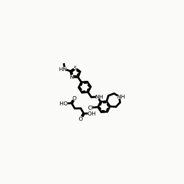 CNc1nc(-c2ccc(CNc3c(Cl)ccc4c3CCNCC4)cc2)cs1.O=C(O)CCC(=O)O